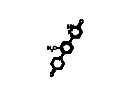 Cc1cc(-c2ccc(=O)[nH]n2)ccc1N1CCC(=O)CC1